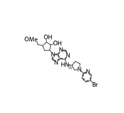 COCC1CC(n2cnc3c(N[C@H]4CCN(c5ccc(Br)cn5)C4)ncnc32)C(O)C1O